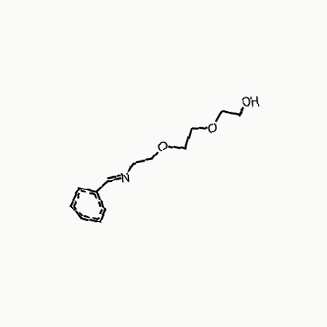 OCCOCCOCC/N=C/c1ccccc1